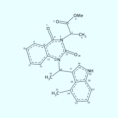 COC(=O)C(C)n1c(=O)c2ccccc2n(C(C)c2c[nH]c3cccc(C)c23)c1=O